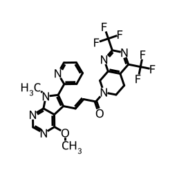 COc1ncnc2c1c(/C=C/C(=O)N1CCc3c(nc(C(F)(F)F)nc3C(F)(F)F)C1)c(-c1ccccn1)n2C